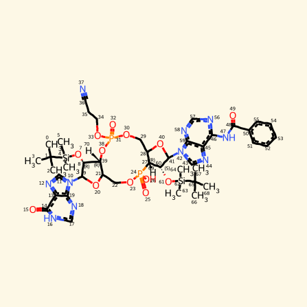 CC(C)(C)[Si](C)(C)O[C@H]1C(n2cnc3c(=O)[nH]cnc32)OC2COP(=O)(O)[C@@H]3C(COP(=O)(OCCC#N)O[C@H]21)OC(n1cnc2c(NC(=O)c4ccccc4)ncnc21)[C@@H]3O[Si](C)(C)C(C)(C)C